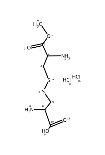 COC(=O)C(N)CSSCC(N)C(=O)O.Cl.Cl